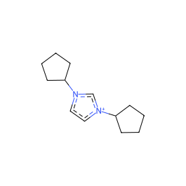 c1c[n+](C2CCCC2)cn1C1CCCC1